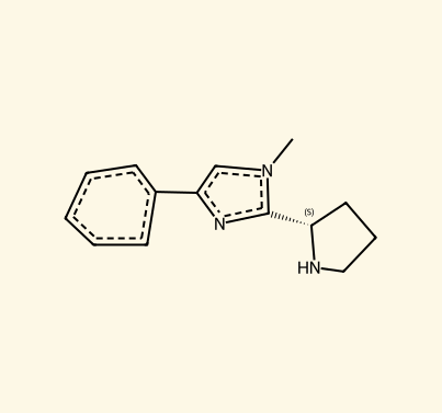 Cn1cc(-c2ccccc2)nc1[C@@H]1CCCN1